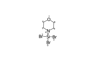 Br[Si](Br)(Br)N1CCOCC1